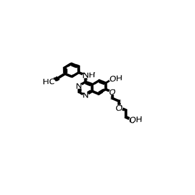 C#CC1=CC=CC(Nc2ncnc3cc(OCCOCCO)c(O)cc23)C1